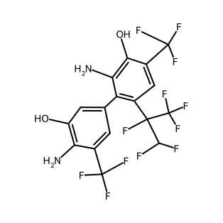 Nc1c(O)cc(-c2c(C(F)(C(F)F)C(F)(F)F)cc(C(F)(F)F)c(O)c2N)cc1C(F)(F)F